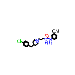 N#Cc1cccc(NC(=O)NCCCN2CCC(Cc3ccc(Cl)cc3)CC2)c1